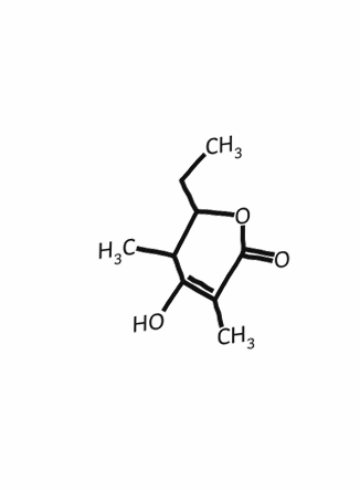 CCC1OC(=O)C(C)=C(O)C1C